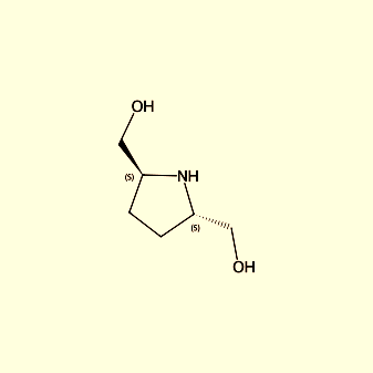 OC[C@@H]1CC[C@@H](CO)N1